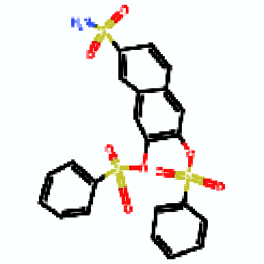 NS(=O)(=O)c1ccc2cc(OS(=O)(=O)c3ccccc3)c(OS(=O)(=O)c3ccccc3)cc2c1